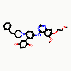 COCCOc1cc2ncnc(Nc3ccc(N4CCC(Cc5ccccc5)CC4)c(C4=CC(=O)C=CC4=O)c3)c2cc1OC